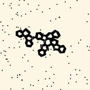 c1ccc2cc3c(cc2c1)c1ccc(-n2c4ccccc4c4c5ccccc5ccc42)cc1n3-c1nc2ccccc2nc1-c1cccc2c1sc1ccccc12